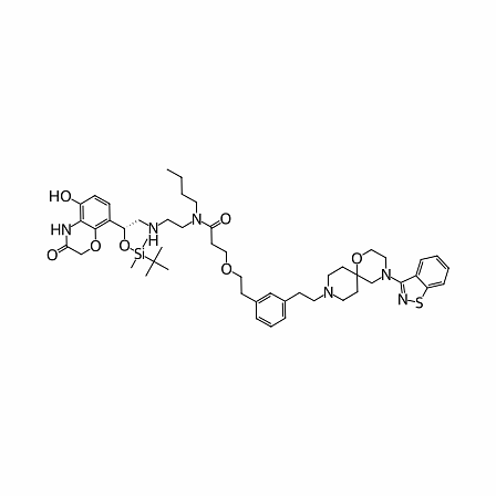 CCCCN(CCNC[C@H](O[Si](C)(C)C(C)(C)C)c1ccc(O)c2c1OCC(=O)N2)C(=O)CCOCCc1cccc(CCN2CCC3(CC2)CN(c2nsc4ccccc24)CCO3)c1